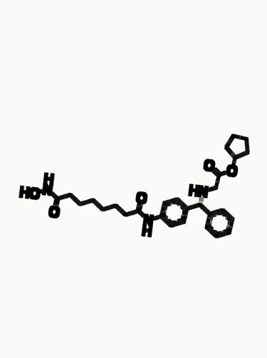 O=C(CCCCCCC(=O)Nc1ccc([C@H](NCC(=O)OC2CCCC2)c2ccccc2)cc1)NO